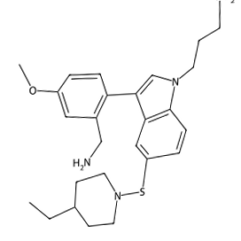 CCC1CCN(Sc2ccc3c(c2)c(-c2ccc(OC)cc2CN)cn3CCCN)CC1